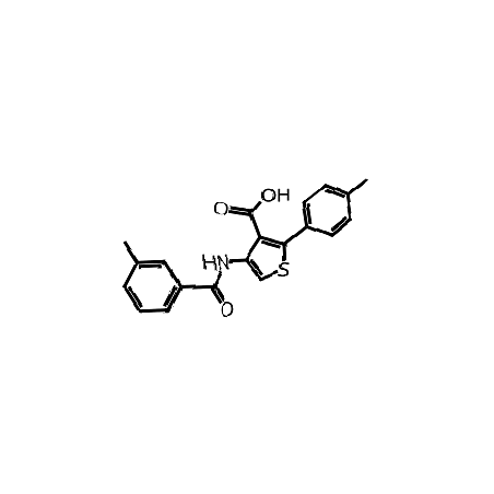 Cc1ccc(-c2scc(NC(=O)c3cccc(C)c3)c2C(=O)O)cc1